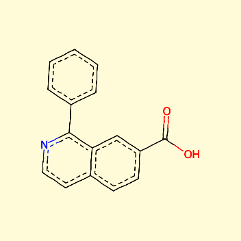 O=C(O)c1ccc2ccnc(-c3ccccc3)c2c1